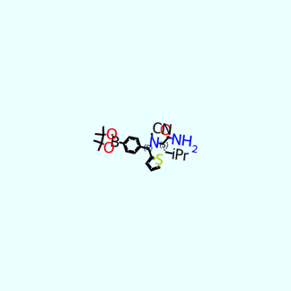 CC(C)C[C@@H](C(N)=O)N(CC#N)[C@@H](c1ccc(B2OC(C)(C)C(C)(C)O2)cc1)c1cccs1